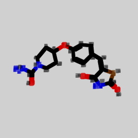 NC(=O)N1CCC(Oc2ccc(C=C3SC(=O)NC3=O)cc2)CC1